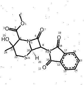 COC(=O)C1N2C(=O)C(N3C(=O)c4ccccc4C3=O)[C@H]2SCC1(C)O